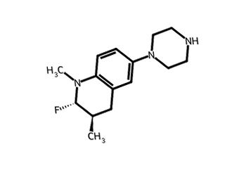 C[C@@H]1Cc2cc(N3CCNCC3)ccc2N(C)[C@H]1F